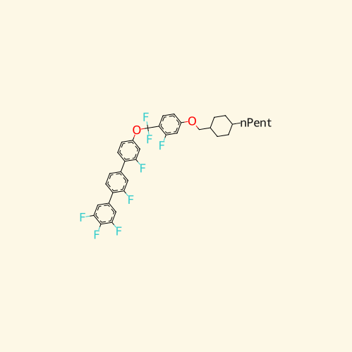 CCCCCC1CCC(COc2ccc(C(F)(F)Oc3ccc(-c4ccc(-c5cc(F)c(F)c(F)c5)c(F)c4)c(F)c3)c(F)c2)CC1